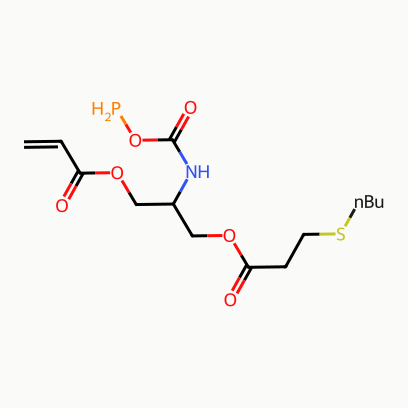 C=CC(=O)OCC(COC(=O)CCSCCCC)NC(=O)OP